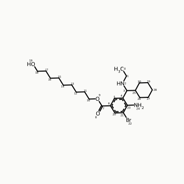 CCNC(c1cc(C(=O)OCCCCCCCCCO)cc(Br)c1N)C1CCCCC1